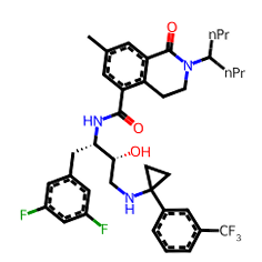 CCCC(CCC)N1CCc2c(C(=O)N[C@@H](Cc3cc(F)cc(F)c3)[C@H](O)CNC3(c4cccc(C(F)(F)F)c4)CC3)cc(C)cc2C1=O